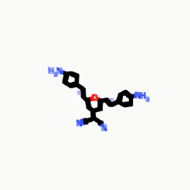 N#CC(C#N)=C1C=C(/C=C/c2ccc(N)cc2)OC(/C=C/c2ccc(N)cc2)=C1